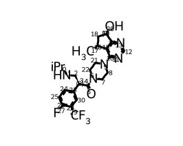 CC(C)NC[C@@H](C(=O)N1CCN(c2ncnc3c2C(C)C[C@H]3O)CC1)c1ccc(F)c(C(F)(F)F)c1